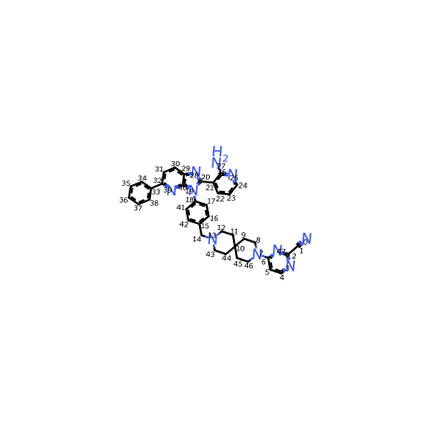 N#Cc1nccc(N2CCC3(CCN(Cc4ccc(-n5c(-c6cccnc6N)nc6ccc(-c7ccccc7)nc65)cc4)CC3)CC2)n1